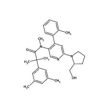 Cc1cc(C)cc(C(C)(C)C(=O)N(C)c2cnc(N3CCCC3CO)cc2-c2ccccc2C)c1